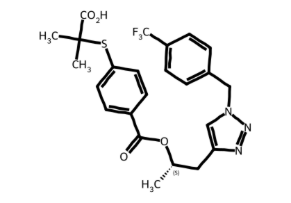 C[C@@H](Cc1cn(Cc2ccc(C(F)(F)F)cc2)nn1)OC(=O)c1ccc(SC(C)(C)C(=O)O)cc1